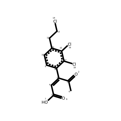 CC(=O)C(=CC(=O)O)c1ccc(CCCl)c(Cl)c1Cl